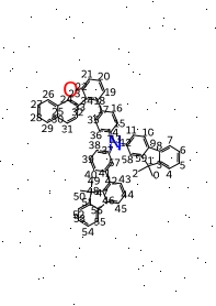 CC1(C)c2ccccc2-c2ccc(N(c3ccc(-c4cccc5oc6c7ccccc7ccc6c45)cc3)c3cccc(-c4cccc5c4C(C)(C)c4ccccc4-5)c3)cc21